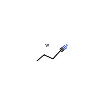 CCCC#N.[W]